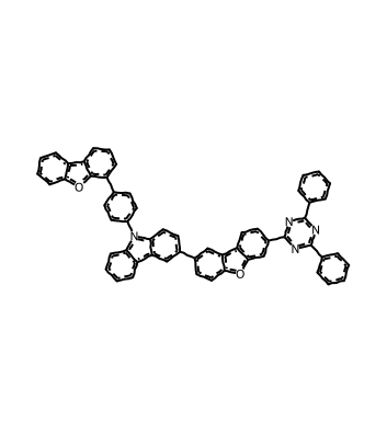 c1ccc(-c2nc(-c3ccccc3)nc(-c3ccc4c(c3)oc3ccc(-c5ccc6c(c5)c5ccccc5n6-c5ccc(-c6cccc7c6oc6ccccc67)cc5)cc34)n2)cc1